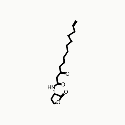 C=CCCCCCCCCC(=O)CC(=O)N[C@H]1CCOC1=O